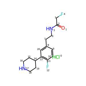 Cl.O=C(CF)NCCc1ccc(F)c(C2CCNCC2)c1